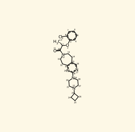 CC(Oc1ccccc1Cl)C(=O)N1CCc2cnc(N3CCN(C4CCC4)CC3)nc2CC1